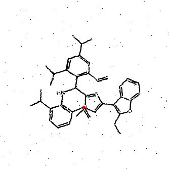 C=Cc1cccc(C(C)C)c1NC(c1c(C=C)cc(C(C)C)cc1C(C)C)c1nc(-c2c(CC)oc3ccccc23)cn1C